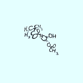 CC(=O)OC[C@@H]1CCN(C(=O)OC(C)(C)C)C[C@@H]1O